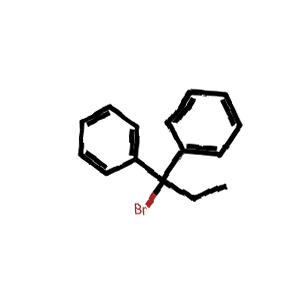 CCC(Br)(c1ccccc1)c1ccccc1